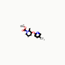 CC1C(Oc2ccc(C(F)(F)F)cn2)CCCN1C(=O)OC(C)(C)C